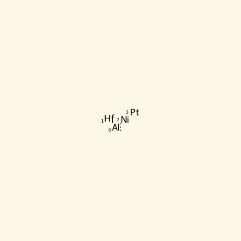 [Al].[Hf].[Ni].[Pt]